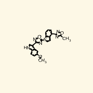 COc1ccc2[nH]cc(-c3noc(-n4ccc5c(-c6noc(C)n6)cccc54)n3)c2c1